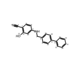 N#Cc1ccc(NCc2ccc(-c3ccccc3)cc2)cc1O